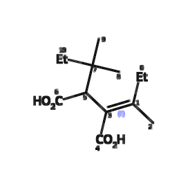 CC/C(C)=C(/C(=O)O)C(C(=O)O)C(C)(C)CC